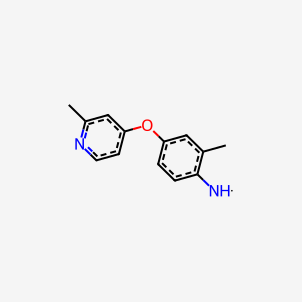 Cc1cc(Oc2ccc([NH])c(C)c2)ccn1